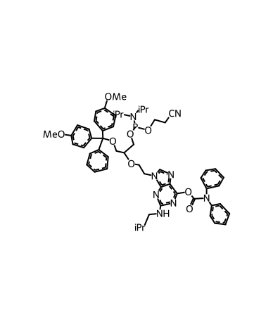 COc1ccc(C(OCC(COP(OCCC#N)N(C(C)C)C(C)C)OCCn2cnc3c(OC(=O)N(c4ccccc4)c4ccccc4)nc(NCC(C)C)nc32)(c2ccccc2)c2ccc(OC)cc2)cc1